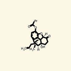 C=CC[N+]1(C)CC[C@]23c4c5ccc(OC(=O)C(C)C)c4O[C@H]2C(=O)CC[C@@]3(O)[C@H]1C5